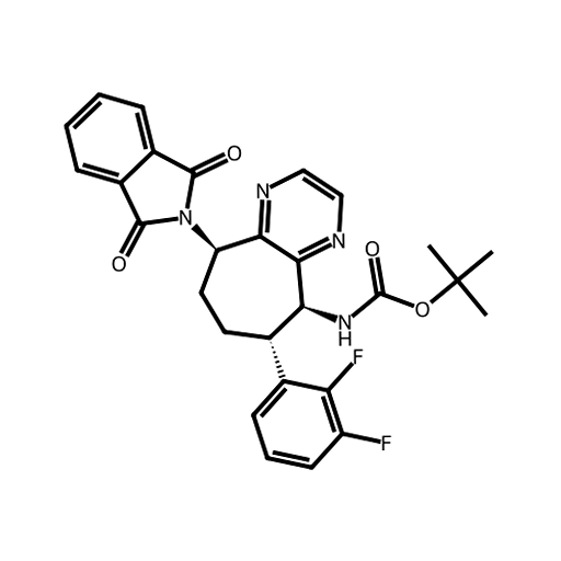 CC(C)(C)OC(=O)N[C@@H]1c2nccnc2[C@H](N2C(=O)c3ccccc3C2=O)CC[C@H]1c1cccc(F)c1F